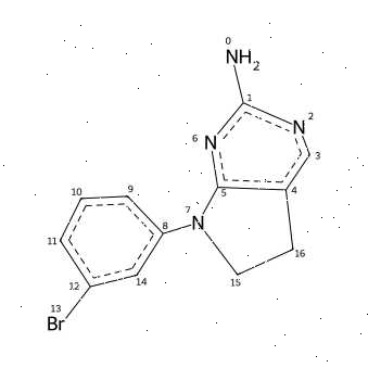 Nc1ncc2c(n1)N(c1cccc(Br)c1)CC2